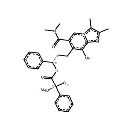 CO[C@@](C(=O)O[C@@H](CCc1c(C(=O)N(C)C)cn2c(C)c(C)nc2c1O)c1ccccc1)(c1ccccc1)C(F)(F)F